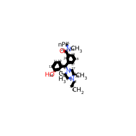 C=CCN1C[C@H](C)N([C@@H](c2cccc(O)c2)c2cccc(C(=O)N(C)CCC)c2)C[C@H]1C